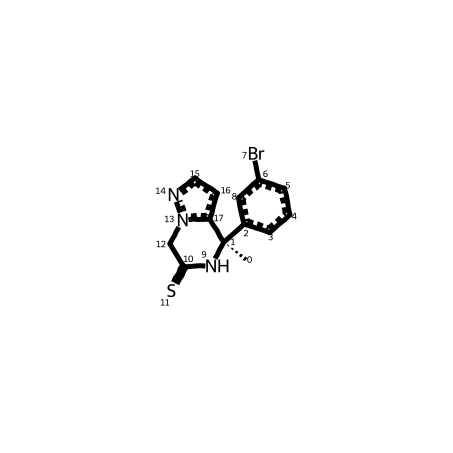 C[C@]1(c2cccc(Br)c2)NC(=S)Cn2nccc21